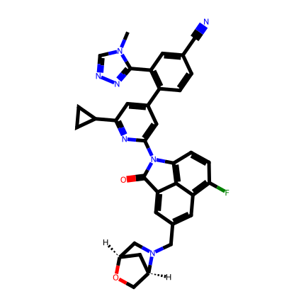 Cn1cnnc1-c1cc(C#N)ccc1-c1cc(C2CC2)nc(N2C(=O)c3cc(CN4C[C@H]5C[C@@H]4CO5)cc4c(F)ccc2c34)c1